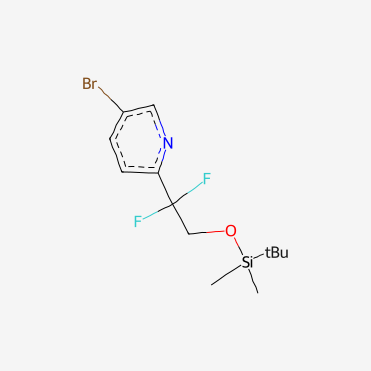 CC(C)(C)[Si](C)(C)OCC(F)(F)c1ccc(Br)cn1